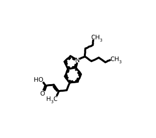 CCCCC(CCC)n1ccc2cc(CC(C)=CC(=O)O)ccc21